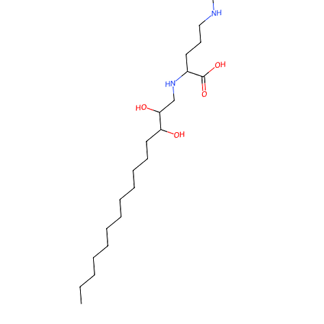 CCCCCCCCCCCCC(O)C(O)CNC(CCCNC(=N)N)C(=O)O